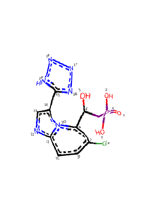 O=P(O)(O)C(O)c1c(Cl)ccc2ncc(-c3nnn[nH]3)n12